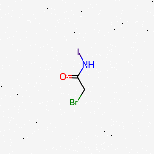 O=C(CBr)NI